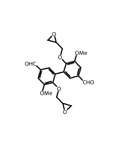 COc1cc(C=O)cc(-c2cc(C=O)cc(OC)c2OCC2CO2)c1OCC1CO1